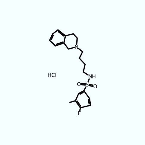 Cc1cc(S(=O)(=O)NCCCCN2CCc3ccccc3C2)ccc1F.Cl